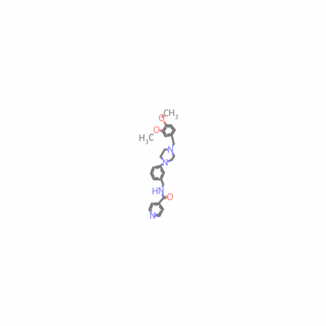 COc1ccc(CN2CCN(c3cccc(CNC(=O)c4ccncc4)c3)CC2)cc1OC